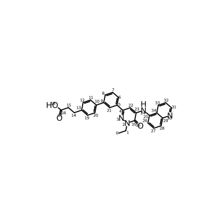 CCn1nc(-c2cccc(-c3ccc(CCC(=O)O)cc3)c2)cc(Nc2cccc3ncccc23)c1=O